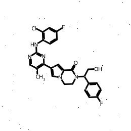 Cc1cnc(Nc2ccc(F)cc2Cl)nc1-c1cc2n(c1)CCN(C(CO)c1ccc(F)cc1)C2=O